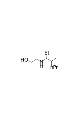 CCCC(C)C(CC)NCCO